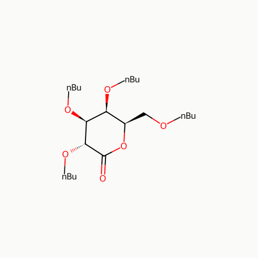 CCCCOC[C@H]1OC(=O)[C@H](OCCCC)[C@@H](OCCCC)[C@H]1OCCCC